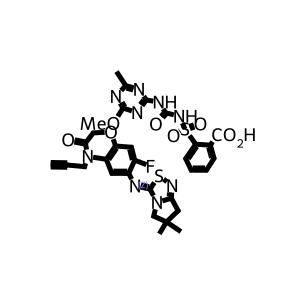 C#CCN1C(=O)COc2cc(F)c(/N=c3\snc4n3CC(C)(C)C4)cc21.COc1nc(C)nc(NC(=O)NS(=O)(=O)c2ccccc2C(=O)O)n1